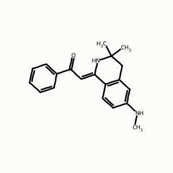 CNc1ccc2c(c1)CC(C)(C)N/C2=C\C(=O)c1ccccc1